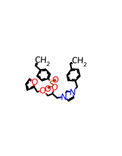 C=Cc1ccc(CN2C=CN(CC(COCc3ccco3)OS(=O)(=O)c3ccc(C=C)cc3)C2)cc1